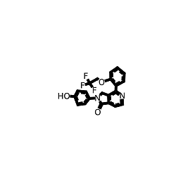 O=C1c2ccnc(-c3ccccc3OCC(F)(F)F)c2CN1c1ccc(O)cc1